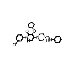 O=c1c(OC2CCCC2)c(N2CCN(CNc3ccccc3)CC2)cnn1-c1cccc(Cl)c1